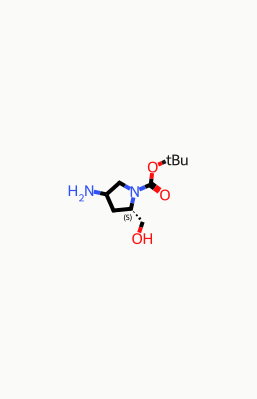 CC(C)(C)OC(=O)N1CC(N)C[C@H]1CO